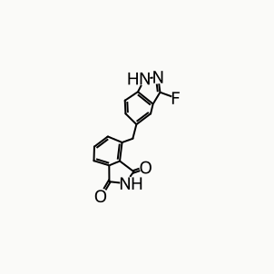 O=C1NC(=O)c2c(Cc3ccc4[nH]nc(F)c4c3)cccc21